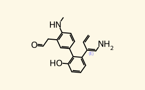 C=C/C(=C\N)c1cccc(O)c1-c1ccc(NC)c(CC=O)c1